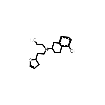 CCCN(CCC1CC=CS1)C1CCc2c(O)cccc2C1